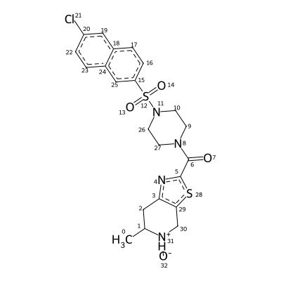 CC1Cc2nc(C(=O)N3CCN(S(=O)(=O)c4ccc5cc(Cl)ccc5c4)CC3)sc2C[NH+]1[O-]